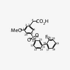 COc1cc(CC(=O)O)cc(S(=O)(=O)c2cccc(-c3ccccc3F)c2)c1